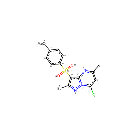 CCc1nn2c(Cl)cc(C)nc2c1S(=O)(=O)c1ccc(OC)cc1